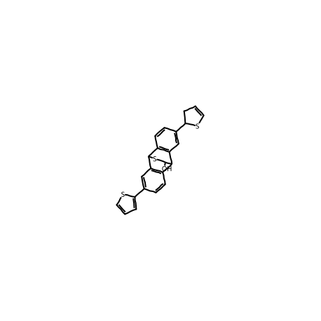 OC1SC2c3cc(-c4cccs4)ccc3C1c1cc(C3CC=CS3)ccc12